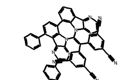 N#Cc1cc(C#N)cc(C(c2cc(C#N)cc(C#N)c2)=c2n3c4nccnc4c4cccc(c5ccc(-c6ccccc6)c6c7nc(-c8ccccc8)cnc7n2c56)c43)c1